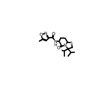 Cc1cc(C(=O)NC2CCC3SCC(C(C)C)(C(C)C)N3C2=O)no1